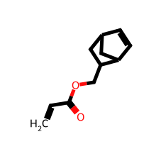 C=CC(=O)OCC1CC2C=CC1C2